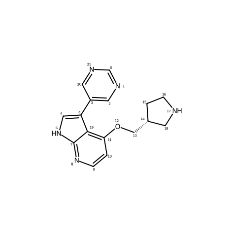 c1ncc(-c2c[nH]c3nccc(OC[C@@H]4CCNC4)c23)cn1